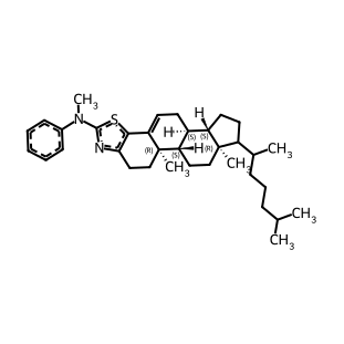 CC(C)CCCC(C)C1CC[C@H]2[C@@H]3CC=C4c5sc(N(C)c6ccccc6)nc5CC[C@]4(C)[C@H]3CC[C@]12C